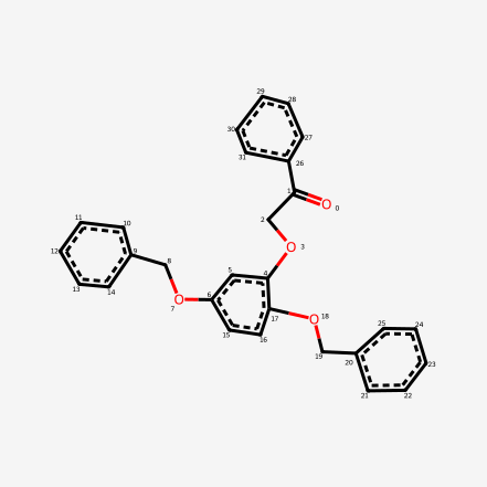 O=C(COc1cc(OCc2ccccc2)ccc1OCc1ccccc1)c1ccccc1